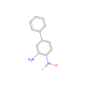 Nc1cc(-c2ccccc2)ccc1[N+]([O-])=S